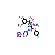 C1COCCN1.CN(C(=O)C(C)(C)c1cc(C(F)(F)F)cc(C(F)(F)F)c1)c1cnc(N2CCOCC2)nc1Oc1ccc(F)cc1